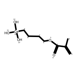 C=C(C)C(=O)OCCC[CH2][Ge]([OH])([OH])[OH]